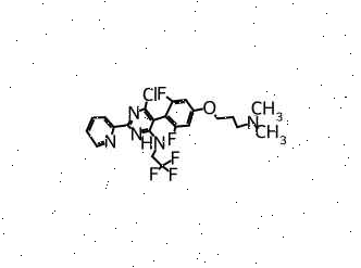 CN(C)CCCOc1cc(F)c(-c2c(Cl)nc(-c3ccccn3)nc2NCC(F)(F)F)c(F)c1